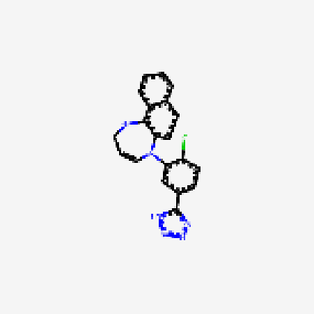 Clc1ccc(-c2nnn[nH]2)cc1N1C=CCNc2c1ccc1ccccc21